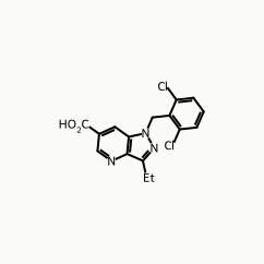 CCc1nn(Cc2c(Cl)cccc2Cl)c2cc(C(=O)O)cnc12